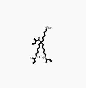 C=CC(=C)NC(CCCCCNC)(CCCCCNC(=O)C=C)CCCCCNC(C)C=C